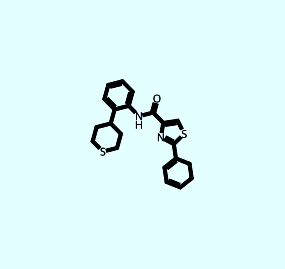 O=C(Nc1ccccc1C1CCSCC1)c1csc(C2=CC=CCC2)n1